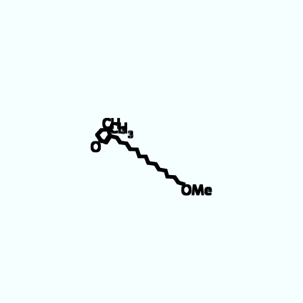 COCCCCCCCCCCCCCCCC1=CC(=O)CCC1(C)C